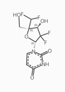 O=c1ccn([C@@H]2O[C@@](CO)(C(F)F)[C@@H](O)C2(F)F)c(=O)[nH]1